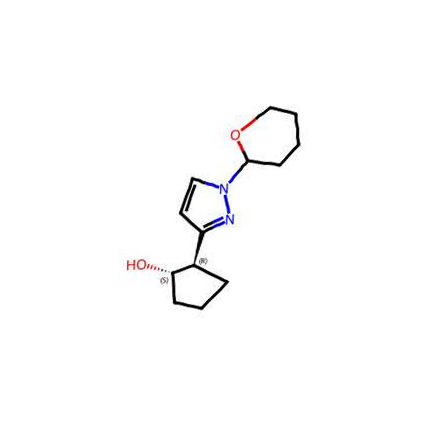 O[C@H]1CCC[C@@H]1c1ccn(C2CCCCO2)n1